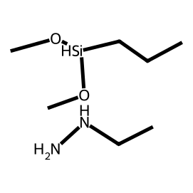 CCC[SiH](OC)OC.CCNN